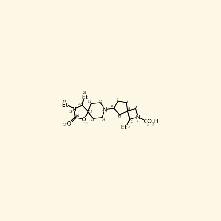 CCC1N(C(=O)O)CC12CCC(N1CCC3(CC1)OC(=O)N(CC)C3CC)C2